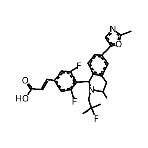 Cc1ncc(-c2ccc3c(c2)CC(C)N(CC(C)(C)F)C3c2c(F)cc(/C=C/C(=O)O)cc2F)o1